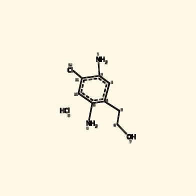 Cl.Nc1cc(CCO)c(N)cc1Cl